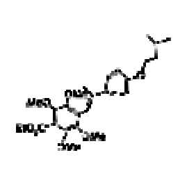 CCOC(=O)c1c(OC)c(OC)c(C=C(C)c2ccc(OCC=C(C)C)cc2)c(OC)c1OC